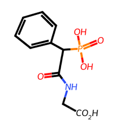 O=C(O)CNC(=O)C(c1ccccc1)P(=O)(O)O